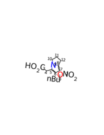 CCCCO[N+](=O)[O-].O=C(O)Cc1ccc2n1CCC2